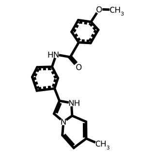 COc1ccc(C(=O)Nc2cccc(C3=CN4C=CC(C)=CC4N3)c2)cc1